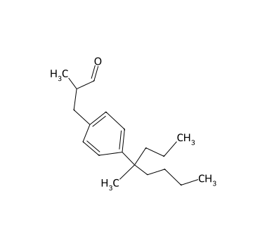 CCCCC(C)(CCC)c1ccc(CC(C)C=O)cc1